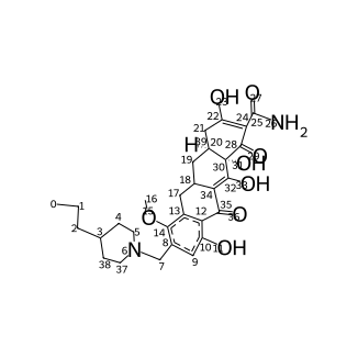 CCCC1CCN(Cc2cc(O)c3c(c2OC)CC2C[C@H]4CC(O)=C(C(N)=O)C(=O)[C@@]4(O)C(O)=C2C3=O)CC1